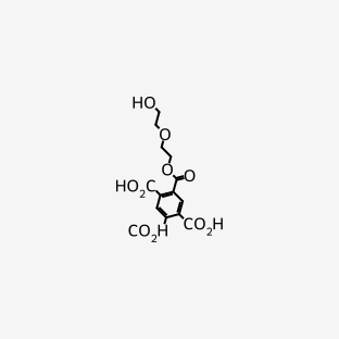 O=C(O)c1cc(C(=O)O)c(C(=O)OCCOCCO)cc1C(=O)O